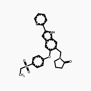 CCS(=O)(=O)c1ccc(Oc2cc3cc(-c4ccccn4)[nH]c3cc2CN2CCCC2=O)cc1